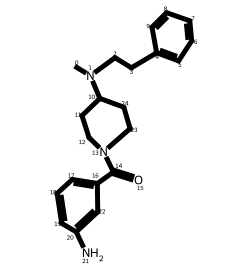 CN(CCc1ccccc1)C1CCN(C(=O)c2cccc(N)c2)CC1